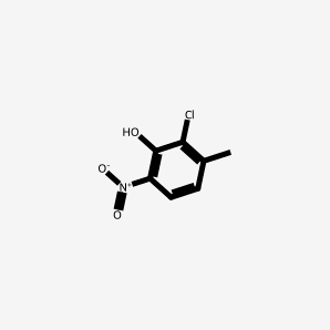 Cc1ccc([N+](=O)[O-])c(O)c1Cl